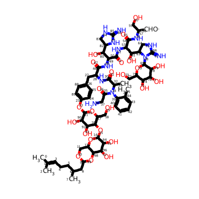 CC(C)=CCCC(C)CC1OCC2OC(OC3C(CO)OC(Oc4ccc(CC(NC(=O)C(C)N(C(=O)CN)c5ccccc5C)C(=O)NC(C(=O)NC(C(=O)NC([C]=O)CO)C(O)C5CNC(=N)N5C5OC(CO)C(O)C(O)C5O)C(O)C5CNC(=N)N5)cc4)C(O)C3O)C(O)C(O)C2O1